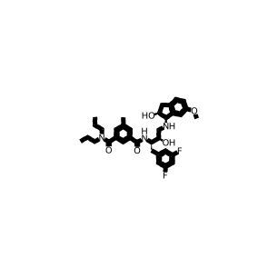 CCCN(CCC)C(=O)c1cc(C)cc(C(=O)N[C@@H](Cc2cc(F)cc(F)c2)[C@H](O)CN[C@@H]2c3cc(OC)ccc3C[C@@H]2O)c1